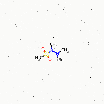 CN(N(C)S(C)(=O)=O)C(C)(C)C